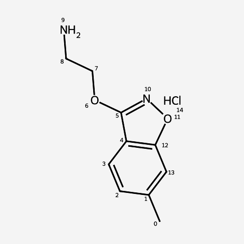 Cc1ccc2c(OCCN)noc2c1.Cl